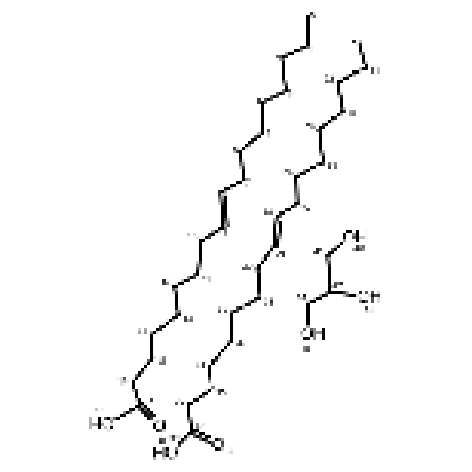 CCCCCCCCC=CCCCCCCCC(=O)O.CCCCCCCCC=CCCCCCCCC(=O)O.OCC(O)CO